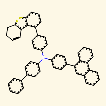 C1=Cc2c(sc3cccc(-c4ccc(N(c5ccc(-c6ccccc6)cc5)c5ccc(-c6cc7ccccc7c7ccccc67)cc5)cc4)c23)CC1